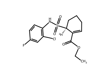 [2H][C@]1(S(=O)(=O)Nc2ccc(F)cc2Cl)CCCC=C1C(=O)OCC